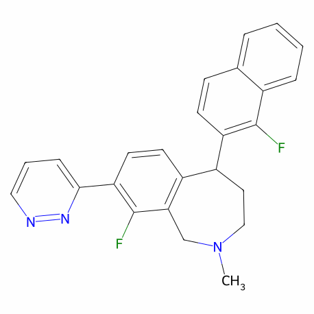 CN1CCC(c2ccc3ccccc3c2F)c2ccc(-c3cccnn3)c(F)c2C1